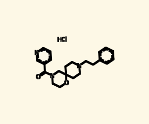 Cl.O=C(c1cccnc1)N1CCOC2(CCN(CCc3ccccc3)CC2)C1